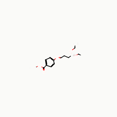 CCO[SiH](CCCOc1ccc(C(=O)OC)cc1)OCC